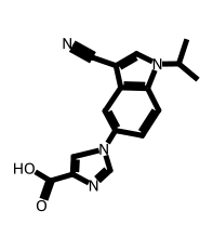 CC(C)n1cc(C#N)c2cc(-n3cnc(C(=O)O)c3)ccc21